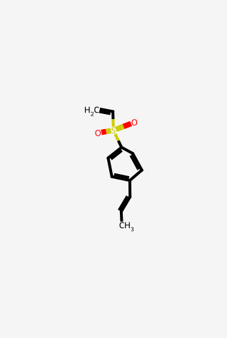 C=CS(=O)(=O)c1ccc(C=CC)cc1